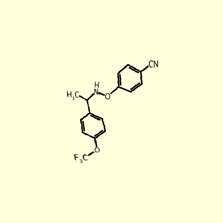 CC(NOc1ccc(C#N)cc1)c1ccc(OC(F)(F)F)cc1